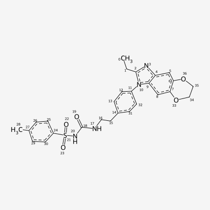 CCc1nc2cc3c(cc2n1-c1ccc(CCNC(=O)NS(=O)(=O)c2ccc(C)cc2)cc1)OCCO3